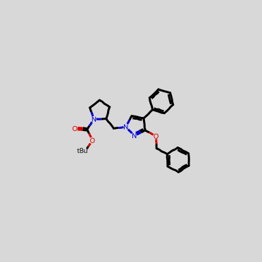 CC(C)(C)OC(=O)N1CCCC1Cn1cc(-c2ccccc2)c(OCc2ccccc2)n1